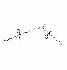 CCCCCCOC(=O)CCCCCCCCC(CC)CCC(=O)OCCCCCC